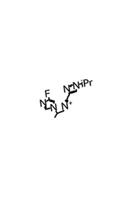 CC(C)n1cnc(C#[N+]CC(C)n2cnc(F)c2)c1